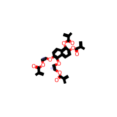 C=C(C)C(=O)O/C=C\Oc1ccc2c(OC(=O)C(=C)C)c(OC(=O)C(=C)C)ccc2c1O/C=C\OC(=O)C(=C)C